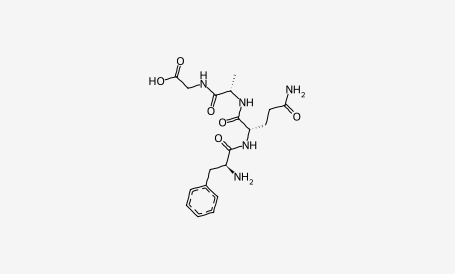 C[C@H](NC(=O)[C@H](CCC(N)=O)NC(=O)[C@@H](N)Cc1ccccc1)C(=O)NCC(=O)O